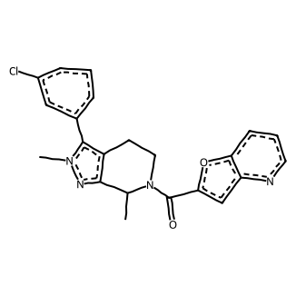 CC1c2nn(C)c(-c3cccc(Cl)c3)c2CCN1C(=O)c1cc2ncccc2o1